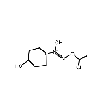 CC(Cl)O/N=[N+](\O)N1CCC(O)CC1